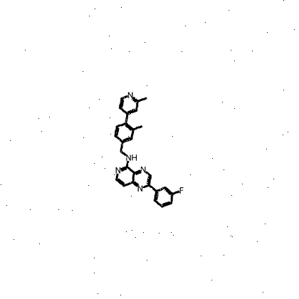 Cc1cc(-c2ccc(CNc3nccc4nc(-c5cccc(F)c5)cnc34)cc2C)ccn1